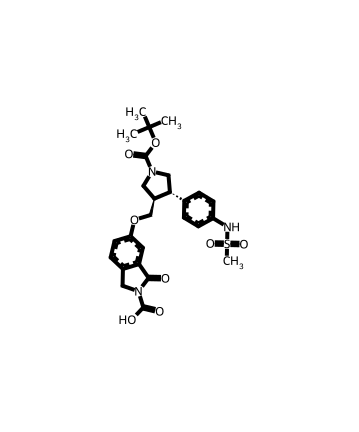 CC(C)(C)OC(=O)N1C[C@H](COc2ccc3c(c2)C(=O)N(C(=O)O)C3)[C@@H](c2ccc(NS(C)(=O)=O)cc2)C1